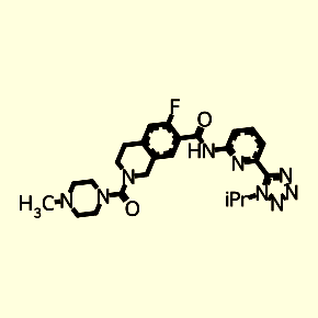 CC(C)n1nnnc1-c1cccc(NC(=O)c2cc3c(cc2F)CCN(C(=O)N2CCN(C)CC2)C3)n1